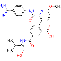 COc1ccc(-c2ccc(C(=O)N[C@H](CO)C(C)C)cc2C(=O)O)c(C(=O)Nc2ccc(C(=N)N)cc2)n1